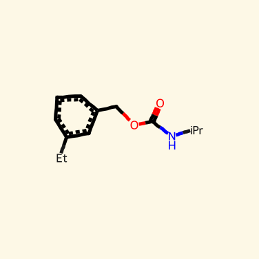 CCc1cccc(COC(=O)NC(C)C)c1